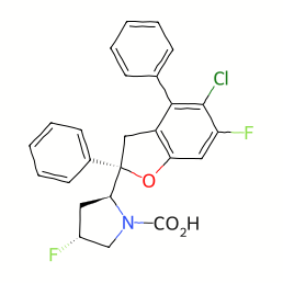 O=C(O)N1C[C@H](F)C[C@H]1[C@@]1(c2ccccc2)Cc2c(cc(F)c(Cl)c2-c2ccccc2)O1